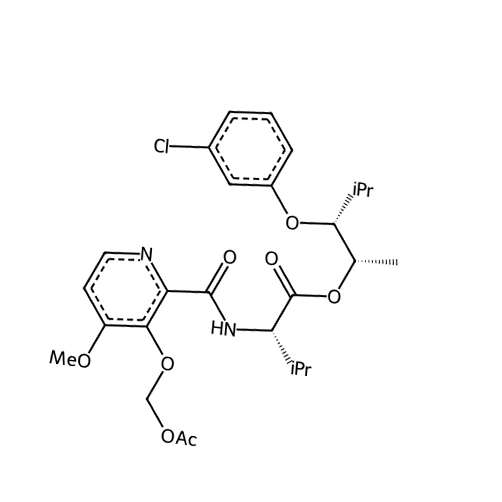 COc1ccnc(C(=O)N[C@H](C(=O)O[C@@H](C)[C@H](Oc2cccc(Cl)c2)C(C)C)C(C)C)c1OCOC(C)=O